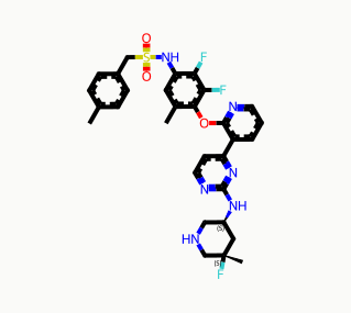 Cc1ccc(CS(=O)(=O)Nc2cc(C)c(Oc3ncccc3-c3ccnc(N[C@@H]4CNC[C@@](C)(F)C4)n3)c(F)c2F)cc1